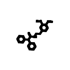 COc1ccc(CCNC(=O)C(c2ccccc2)c2ccccc2)cc1OC